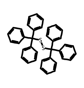 c1ccc(C(SSC(c2ccccc2)(c2ccccc2)c2ccccc2)(c2ccccc2)c2ccccc2)cc1